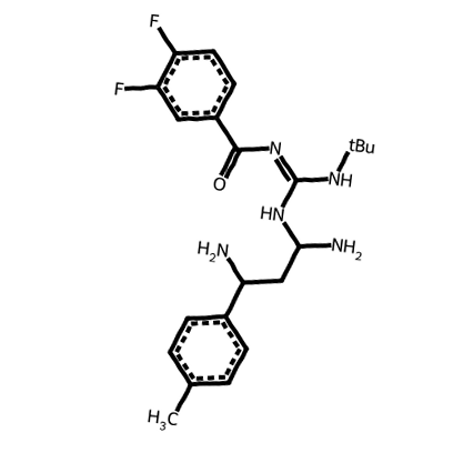 Cc1ccc(C(N)CC(N)N/C(=N\C(=O)c2ccc(F)c(F)c2)NC(C)(C)C)cc1